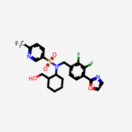 O=S(=O)(c1ccc(C(F)(F)F)nc1)N(Cc1ccc(-c2ncco2)c(F)c1F)C1CCCCC1CO